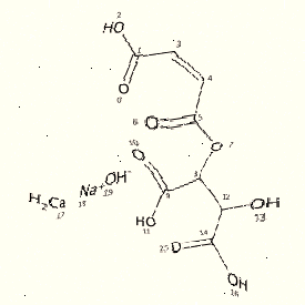 O=C(O)/C=C\C(=O)OC(C(=O)O)C(O)C(=O)O.[CaH2].[Na+].[OH-]